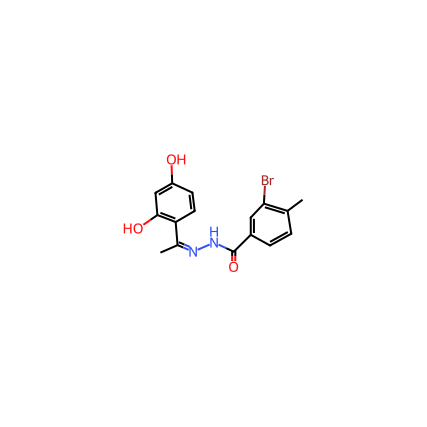 CC(=NNC(=O)c1ccc(C)c(Br)c1)c1ccc(O)cc1O